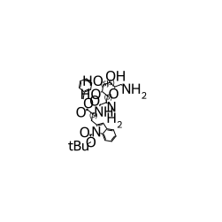 CC(C)(C)OC(=O)n1c(C[C@H](NC(=O)C(N)[C@@H]2OC(CN)[C@@H](O)[C@H](O)C2O)C(=O)OCc2ccccc2)cc2ccccc21